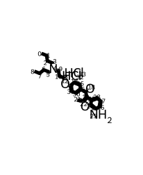 CCCCN(CCCC)CCCOc1ccc(C(=O)c2c(C)oc3c(N)cccc23)cc1.Cl.Cl